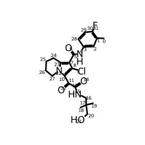 Cc1cc(NC(=O)c2c(Cl)c(C(=O)C(=O)NCC(C)(C)CO)n3c2CCCC3)ccc1F